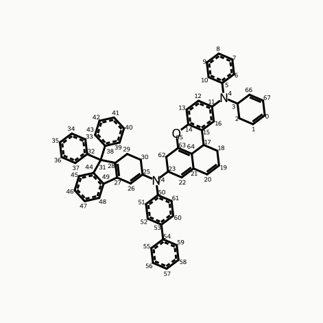 C1=CCC(N(c2ccccc2)c2ccc3c(c2)C2CC=CC4=CC(N(C5=CC6=C(CC5)C(c5ccccc5)(c5ccccc5)c5ccccc56)c5ccc(-c6ccccc6)cc5)CC(=C42)O3)C=C1